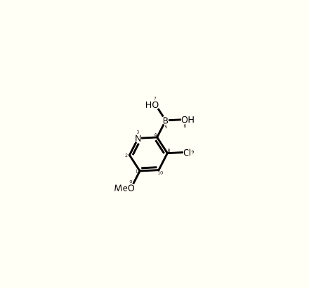 COc1cnc(B(O)O)c(Cl)c1